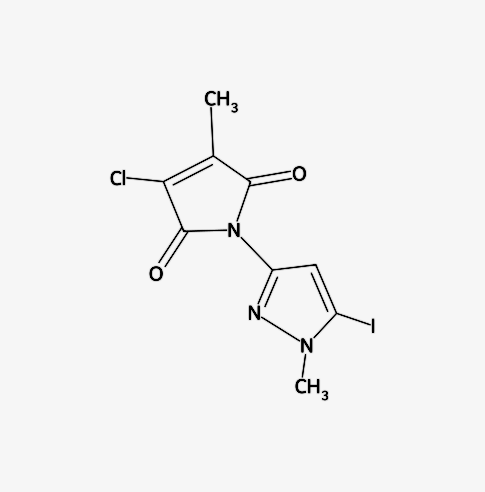 CC1=C(Cl)C(=O)N(c2cc(I)n(C)n2)C1=O